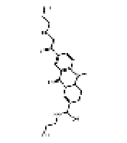 CN1c2ccc(C(=O)CNCCO)cc2C(=O)C2C=C(C(O)NCCO)CCC21